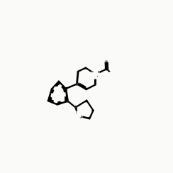 O=C(O)N1CC=C(c2ccccc2C2CCCN2)CC1